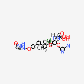 Cc1c(COc2cc(OCc3cncc(C#N)c3)c(CN[C@@](C)(CO)C(=O)O)cc2Cl)cccc1-c1cccc(-c2ccc(OCCNC[C@@H]3CCC(=O)N3)cc2)c1C